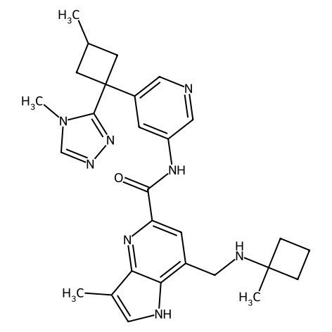 Cc1c[nH]c2c(CNC3(C)CCC3)cc(C(=O)Nc3cncc(C4(c5nncn5C)CC(C)C4)c3)nc12